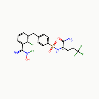 N=C(c1cccc(Cc2ccc(S(=O)(=O)N[C@H](CCC(F)(F)F)C(N)=O)cc2)c1F)N(O)Cl